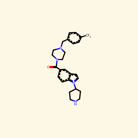 O=C(c1ccc2c(ccn2C2CCNCC2)c1)N1CCN(Cc2ccc(C(F)(F)F)cc2)CC1